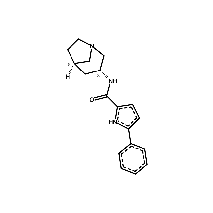 O=C(N[C@@H]1C[C@H]2CCN(C2)C1)c1ccc(-c2ccccc2)[nH]1